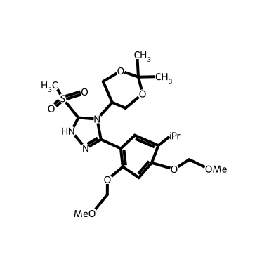 COCOc1cc(OCOC)c(C(C)C)cc1C1=NNC(S(C)(=O)=O)N1C1COC(C)(C)OC1